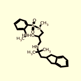 CBc1ccccc1S(=O)(=O)N(C)CC(O)CNC(C)(C)CC1Cc2ccccc2C1